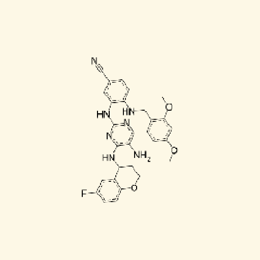 COc1ccc(CNc2ccc(C#N)cc2Nc2ncc(N)c(NC3CCOc4ccc(F)cc43)n2)c(OC)c1